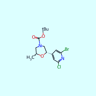 C[C@H]1CN(C(=O)OC(C)(C)C)C[C@H](c2cc(Cl)nc(Br)c2)O1